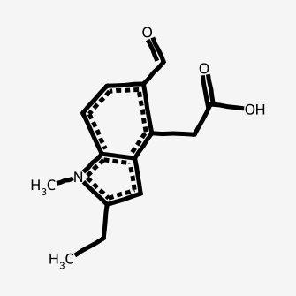 CCc1cc2c(CC(=O)O)c(C=O)ccc2n1C